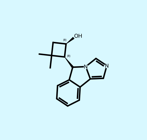 CC1(C)C[C@@H](O)[C@H]1C1c2ccccc2-c2cncn21